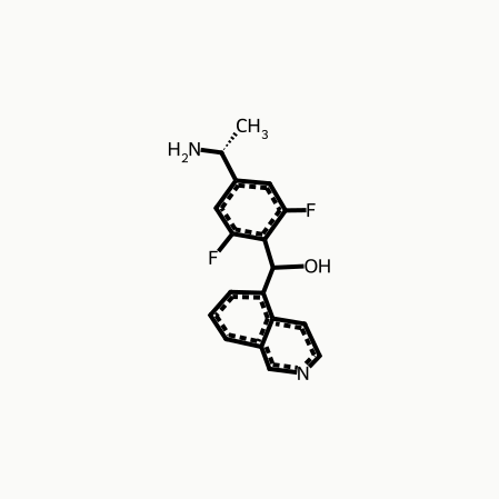 C[C@@H](N)c1cc(F)c(C(O)c2cccc3cnccc23)c(F)c1